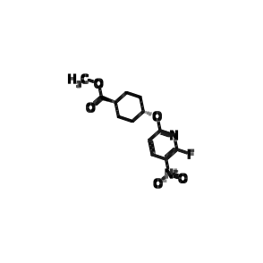 COC(=O)[C@H]1CC[C@H](Oc2ccc([N+](=O)[O-])c(F)n2)CC1